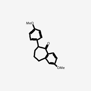 COc1ccc(C2CCCc3cc(OC)ccc3C2=O)cc1